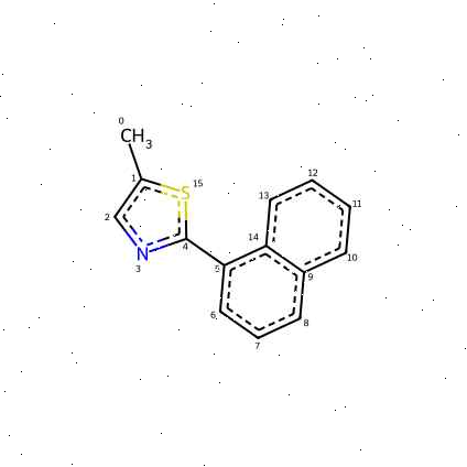 Cc1cnc(-c2cccc3ccccc23)s1